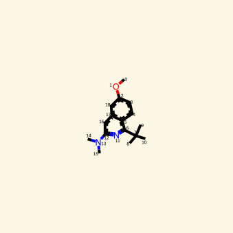 COc1ccc2c(C(C)(C)C)nc(N(C)C)cc2c1